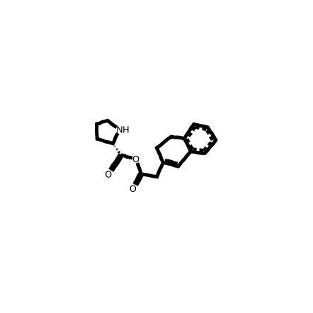 O=C(CC1=Cc2ccccc2CC1)OC(=O)[C@@H]1CCCN1